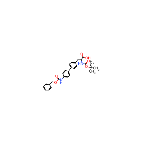 CC(C)(C)OC(=O)N[C@@H](Cc1ccc(-c2ccc(NC(=O)OCc3ccccc3)cc2)cc1)C(=O)O